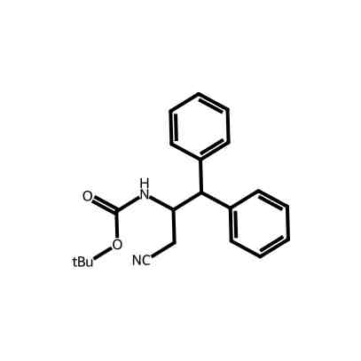 CC(C)(C)OC(=O)NC(CC#N)C(c1ccccc1)c1ccccc1